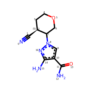 N#C[C@H]1CCOCC1n1cc(C(N)=O)c(N)n1